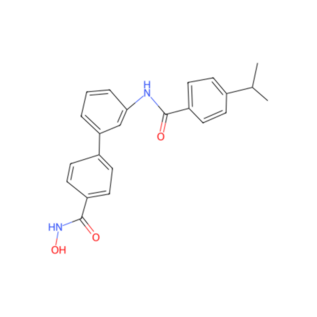 CC(C)c1ccc(C(=O)Nc2cccc(-c3ccc(C(=O)NO)cc3)c2)cc1